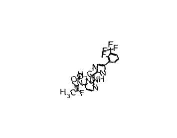 C[C@H](Nc1nccc(N2C(=O)OC[C@@H]2[C@H](C)F)n1)c1ncc(-c2cccc(C(F)(F)F)c2F)cn1